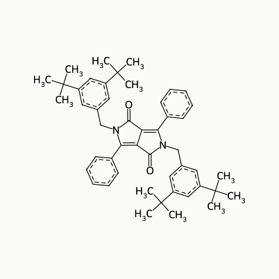 CC(C)(C)c1cc(CN2C(=O)C3=C(c4ccccc4)N(Cc4cc(C(C)(C)C)cc(C(C)(C)C)c4)C(=O)C3=C2c2ccccc2)cc(C(C)(C)C)c1